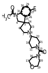 CC(=O)N1CC2(CCN(C3CCN(C(=O)N4CCOCC4)CC3)CC2)c2cc(F)ccc21